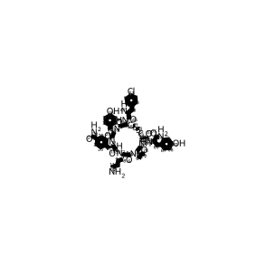 CC(C)[C@@H]1NC(=O)[C@H](CCCCN)NC(=O)[C@@H](Cc2ccc(C(N)=O)cc2)NC(=O)[C@H](Cc2ccc(O)cc2)NC(=O)[C@H](NC(=O)[C@@H](N)Cc2ccc(Cl)cc2)CSSC[C@@H](C(=O)NC(Cc2ccc(O)cc2)C(N)=O)NC1=O